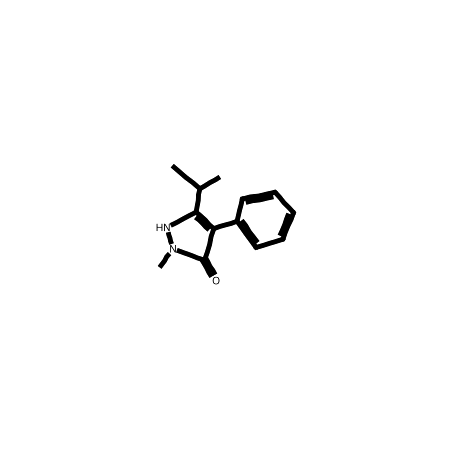 CC(C)c1[nH]n(C)c(=O)c1-c1ccccc1